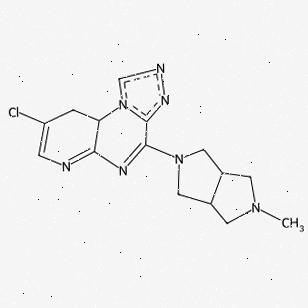 CN1CC2CN(C3=NC4=NC=C(Cl)CC4n4cnnc43)CC2C1